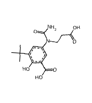 CC(C)(C)c1cc(N(CCC(=O)O)C(N)=O)cc(C(=O)O)c1O